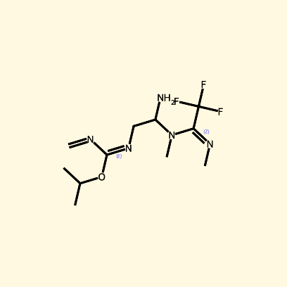 C=N/C(=N\CC(N)N(C)/C(=N\C)C(F)(F)F)OC(C)C